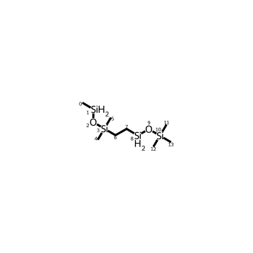 C[SiH2]O[Si](C)(C)CC[SiH2]O[Si](C)(C)C